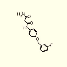 NC(=O)CC(=O)Nc1ccc(OCc2cccc(F)c2)cc1